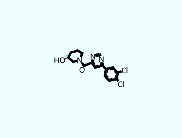 O=C(c1cc(-c2ccc(Cl)c(Cl)c2)ncn1)N1CCC[C@@H](O)C1